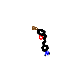 CN(C)c1ccc(C=Cc2cc3ccc(Br)cc3o2)cc1